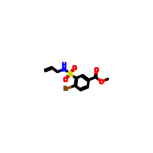 C=CCNS(=O)(=O)c1cc(C(=O)OC)ccc1Br